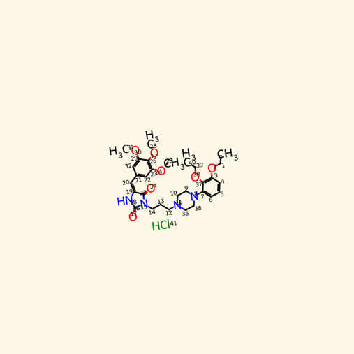 CCOc1cccc(N2CCN(CCCN3C(=O)NC(=Cc4cc(OC)c(OC)c(OC)c4)C3=O)CC2)c1OCC.Cl